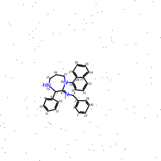 c1ccc(C/N=C2/C(c3ccccc3)NCCCN2c2cccc3ccccc23)cc1